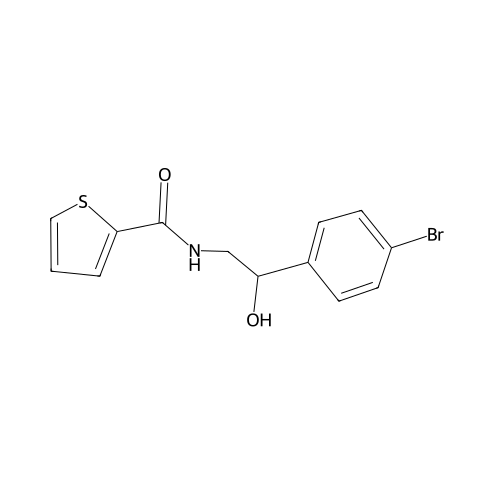 O=C(NCC(O)c1ccc(Br)cc1)c1cccs1